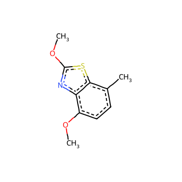 COc1nc2c(OC)ccc(C)c2s1